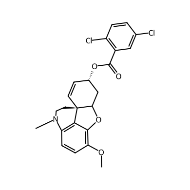 COc1ccc2c3c1OC1C[C@@H](OC(=O)c4cc(Cl)ccc4Cl)C=C[C@@]31CCN2C